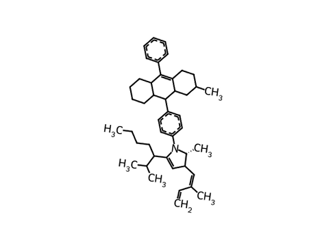 C=C/C(C)=C\C1C=C(C(CCCC)C(C)C)N(c2ccc(C3C4CC(C)CCC4=C(c4ccccc4)C4CCCCC43)cc2)[C@@H]1C